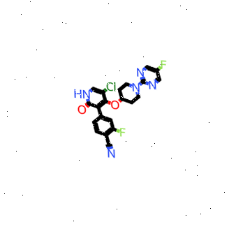 N#Cc1ccc(-c2c(OC3CCN(c4ncc(F)cn4)CC3)c(Cl)c[nH]c2=O)cc1F